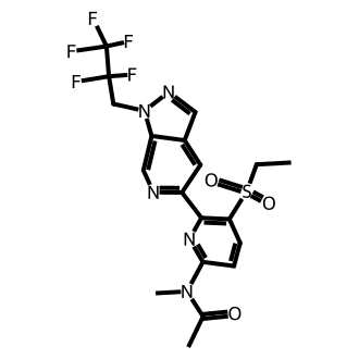 CCS(=O)(=O)c1ccc(N(C)C(C)=O)nc1-c1cc2cnn(CC(F)(F)C(F)(F)F)c2cn1